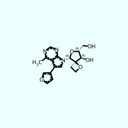 Cc1ncnc2c1c(-c1ccoc1)cn2[C@@H]1O[C@H](CO)[C@@H](O)[C@]12CCO2